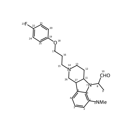 CNc1cccc2c1N(C(C)C=O)C1CCN(CCCOc3ccc(F)cc3)CC21